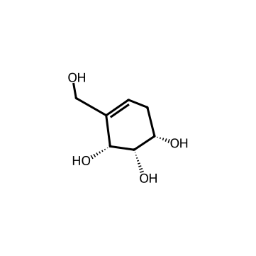 OCC1=CC[C@H](O)[C@H](O)[C@@H]1O